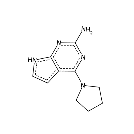 Nc1nc(N2CCCC2)c2cc[nH]c2n1